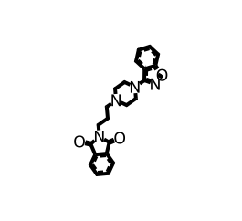 O=C1c2ccccc2C(=O)N1CCCN1CCN(c2noc3ccccc23)CC1